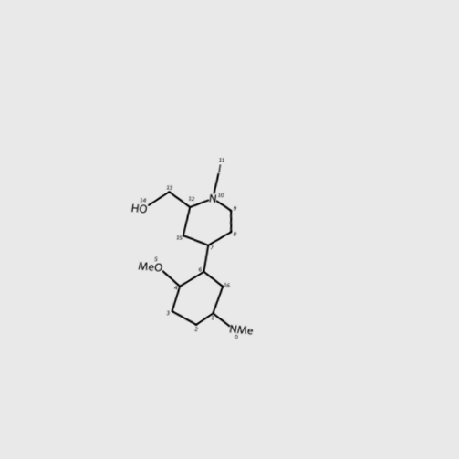 CNC1CCC(OC)C(C2CCN(I)C(CO)C2)C1